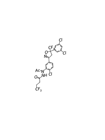 CC(=O)N(NC(=O)CCC(F)(F)F)c1cc(C2=NOC(c3cc(Cl)cc(Cl)c3)(C(F)(F)F)C2)ccc1Cl